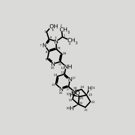 CC(C)n1c(CO)nc2cnc(Nc3ccnc(N4C[C@H]5CC[C@@H](C4)[C@H]5O)n3)cc21